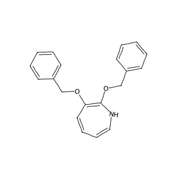 C1=CNC(OCc2ccccc2)=C(OCc2ccccc2)C=C1